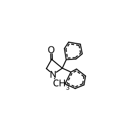 CN1CC(=O)C1(c1ccccc1)c1ccccc1